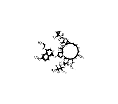 CCOc1cnc(O[C@@H]2C[C@H]3C(=O)N[C@]4(C(=O)NS(=O)(=O)C5(C)CC5)CC4/C=C\CC[C@@H](C)C[C@@H](COC)[C@H](NC(=O)OC(C)(C)C(C)(F)F)C(=O)N3C2)c2ccc(OC)cc12